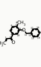 C=CC(=O)c1ccc(C)c(OCc2ccccc2)c1